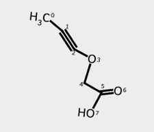 CC#COCC(=O)O